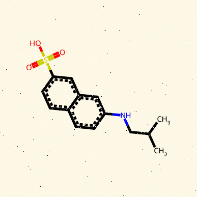 CC(C)CNc1ccc2ccc(S(=O)(=O)O)cc2c1